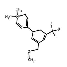 [CH2]OCC1=CC(C2=CC[N+](C)(C)C=C2)CC(C(F)(F)F)=C1